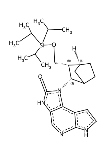 CC(C)[Si](OC[C@@H]1[C@H]2CCC(C2)[C@@H]1n1c(=O)[nH]c2cnc3[nH]ccc3c21)(C(C)C)C(C)C